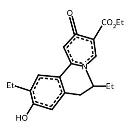 CCOC(=O)c1cn2c(cc1=O)-c1cc(CC)c(O)cc1CC2CC